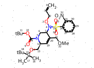 C=CCON(C1CN(C(=O)OC(C)(C)C)[C@H](CO[Si](C)(C)C(C)(C)C)C=C1COC)S(=O)(=O)c1ccccc1[N+](=O)[O-]